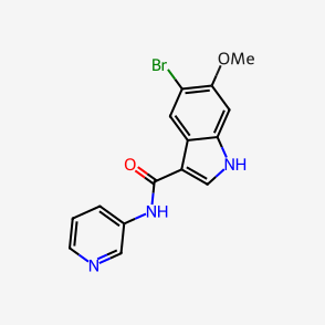 COc1cc2[nH]cc(C(=O)Nc3cccnc3)c2cc1Br